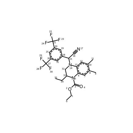 CCOC(=O)N1c2cc(C)c(C)cc2N(C(C#N)c2cc(C(F)(F)F)cc(C(F)(F)F)c2)CC1CC